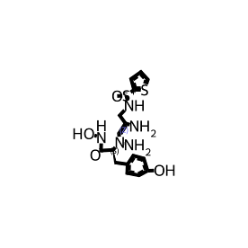 N/C(=C\N(N)[C@@H](Cc1ccc(O)cc1)C(=O)NO)CN[S+]([O-])c1cccs1